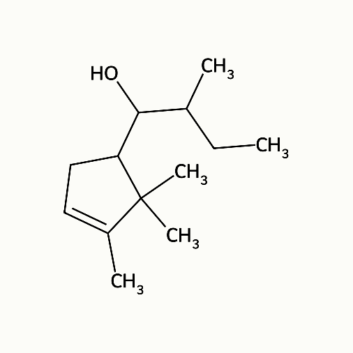 CCC(C)C(O)C1CC=C(C)C1(C)C